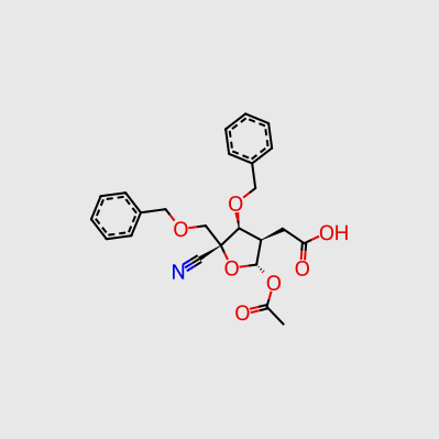 CC(=O)O[C@@H]1O[C@](C#N)(COCc2ccccc2)[C@@H](OCc2ccccc2)[C@H]1CC(=O)O